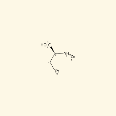 CC(C)C[C@H](N)C(=O)O.[Zn]